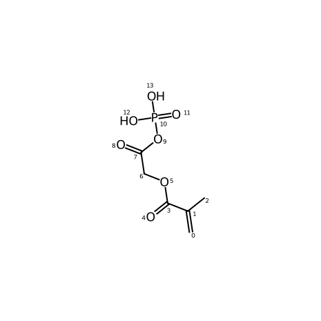 C=C(C)C(=O)OCC(=O)OP(=O)(O)O